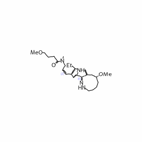 C=C1CC(OC)CCCCN/N=C\1c1cc(/C=C\CN(C)C(=O)CCCOC)c(CC)[nH]1